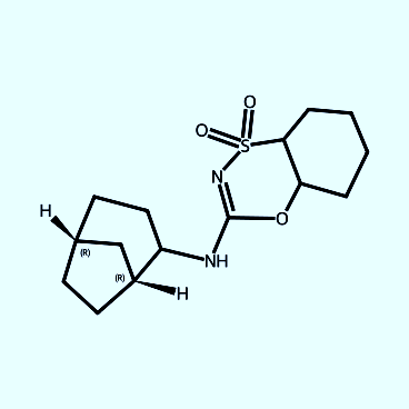 O=S1(=O)N=C(NC2CC[C@H]3CC[C@@H]2C3)OC2CCCCC21